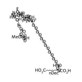 CCCCCCCCCCCN(C(=O)CCCCCCCCCC(=O)O)C(CCC(=O)NCCOCCOCCOCCOCCOCCOCCOCCOCCOCCOCCOCCOCCC(=O)NCC(C)(C)C(=O)OC(C)(C)c1ccc(C(=O)Nc2cc(F)cc(-c3ncnc4[nH]c(-c5ccc(CCN6CCC7(CC6)CCN(C(=O)c6ccc(OC)c(N8CCC(=O)NC8=O)c6)CC7)cc5)cc34)c2C)c(F)c1)C(=O)O